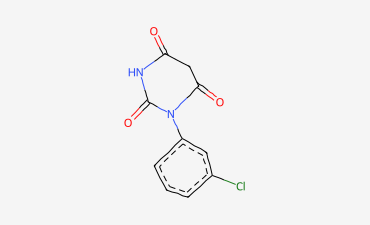 O=C1CC(=O)N(c2cccc(Cl)c2)C(=O)N1